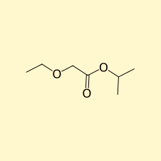 CCOCC(=O)OC(C)C